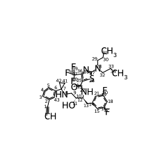 C#Cc1cccc(C2(NC[C@@H](O)[C@H](Cc3cc(F)cc(F)c3)NC(=O)c3sc(N(CCC)CCC)nc3C(F)(F)F)CC2)c1